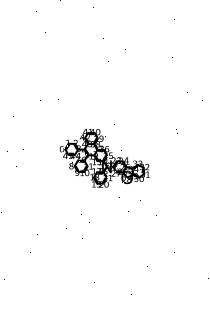 c1ccc(-c2c(-c3ccccc3)c3cc(N(c4ccccc4)c4ccc5c(c4)oc4ccccc45)ccc3c3ccccc23)cc1